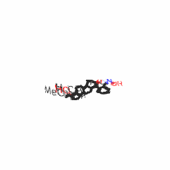 COC[C@]1(O)CC[C@H]2[C@@H]3CCC4=C(c5ccccc5/C(C)=N\O)C(=O)CCC4=C3CC[C@@]21C